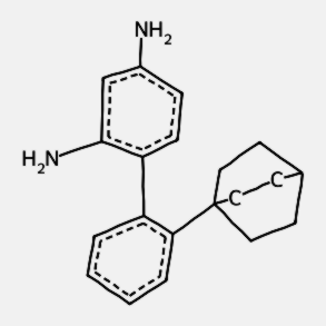 Nc1ccc(-c2ccccc2C23CCC(CC2)CC3)c(N)c1